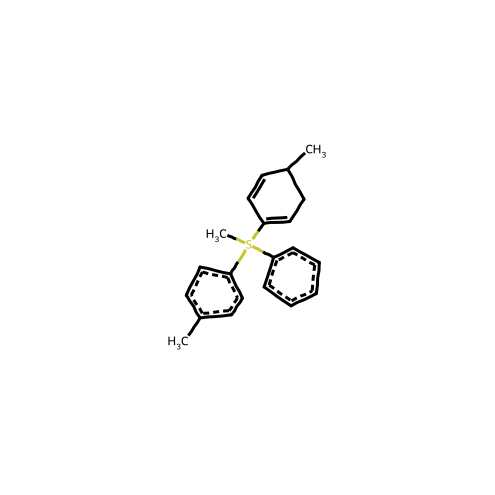 Cc1ccc(S(C)(C2=CCC(C)C=C2)c2ccccc2)cc1